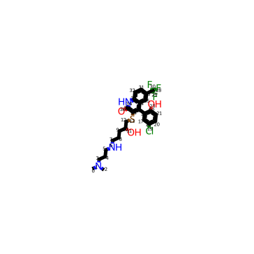 CN(C)CCCNCCCC(O)CSc1c(-c2cc(Cl)ccc2O)c2cc(C(F)(F)F)ccc2[nH]c1=O